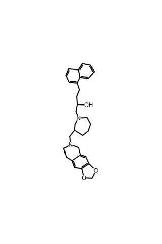 OC(CCc1cccc2ccccc12)CN1CCCCC(CN2CCc3cc4c(cc3C2)OCO4)C1